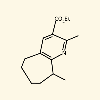 CCOC(=O)c1cc2c(nc1C)C(C)CCCC2